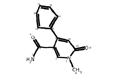 Cn1cc(C(N)=O)c(-c2ccccc2)cc1=O